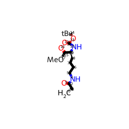 C=CC(=O)NCCCC[C@H](NC(=O)OC(C)(C)C)C(=O)OC